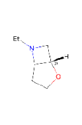 CCN1C[C@@H]2OCCC21